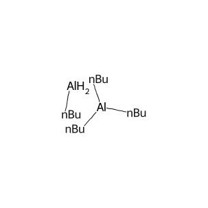 CCC[CH2][AlH2].CCC[CH2][Al]([CH2]CCC)[CH2]CCC